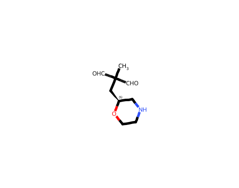 CC(C=O)(C=O)C[C@H]1CNCCO1